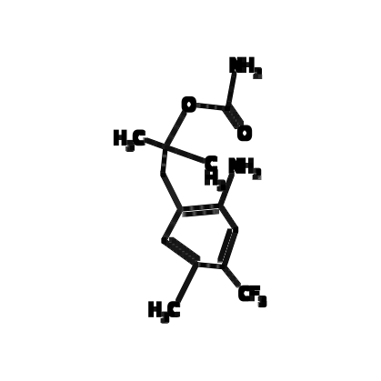 Cc1cc(CC(C)(C)OC(N)=O)c(N)cc1C(F)(F)F